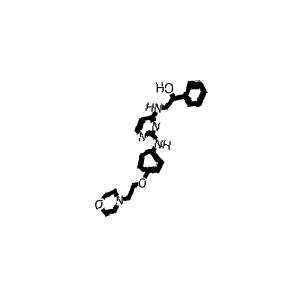 OC(CNc1ccnc(Nc2ccc(OCCN3CCOCC3)cc2)n1)c1ccccc1